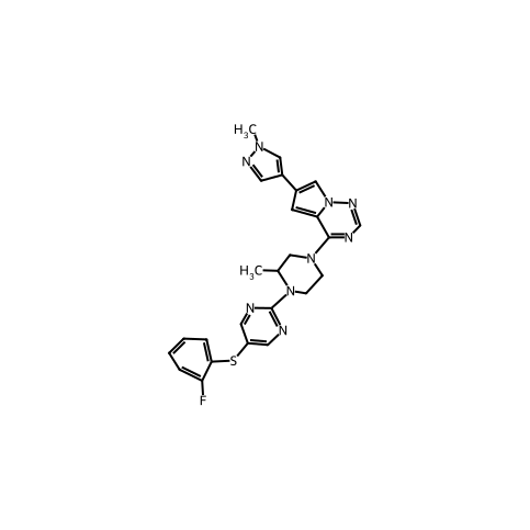 CC1CN(c2ncnn3cc(-c4cnn(C)c4)cc23)CCN1c1ncc(Sc2ccccc2F)cn1